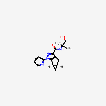 CC(C)(CO)NC(=O)c1nn(-c2ccccn2)c2c1C[C@H]1C[C@@H]21